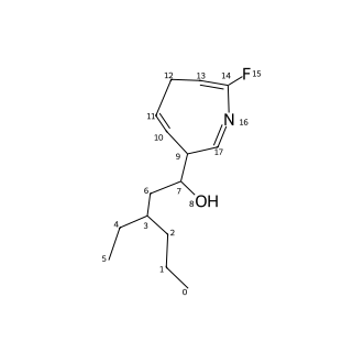 CCCC(CC)CC(O)C1C=CC/C=C(F)\N=C/1